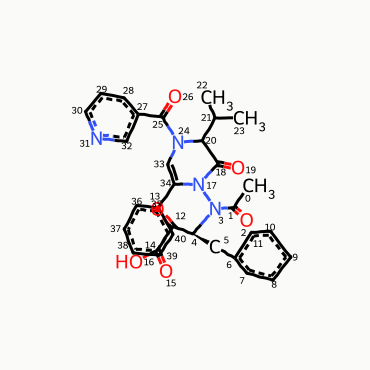 CC(=O)N([C@@H](Cc1ccccc1)C(=O)C(=O)O)N1C(=O)C(C(C)C)N(C(=O)c2cccnc2)C=C1c1ccccc1